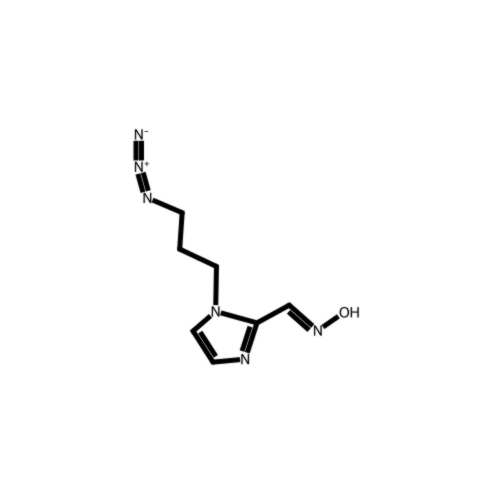 [N-]=[N+]=NCCCn1ccnc1/C=N/O